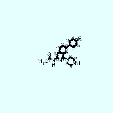 CC(=O)Nc1nc(N2CCNCC2)c2nc(-c3ccc(F)cc3)ccc2n1